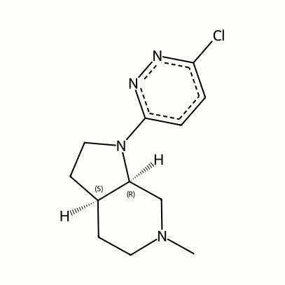 CN1CC[C@H]2CCN(c3ccc(Cl)nn3)[C@H]2C1